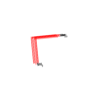 O.O.O.O.O.O.O.O.O.O.O.O.O.O.O.O.O.O.O.O.O.O.O.O.O.O.O.O.O.O.O.O.O.O.O.O.O.O.O.O.O.O.O.O.O.O.O.O.O.O.[SrH2].[SrH2].[SrH2].[SrH2].[SrH2]